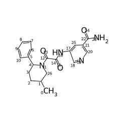 CC1CCC(c2ccccc2)N(C(=O)C(=O)Nc2cncc(C(N)=O)c2)C1